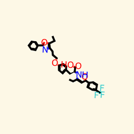 CC/C(=C/C(=O)c1ccc(C(F)(F)F)cc1)N[C@@H](Cc1ccc(OCCCc2nc(-c3ccccc3)oc2CC)cc1)C(=O)O